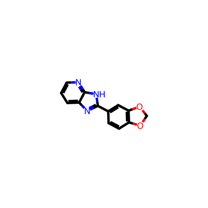 c1cnc2[nH]c(-c3ccc4c(c3)OCO4)nc2c1